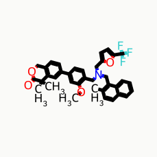 COc1cc(-c2ccc3c(c2)C(C)(C)C(=O)OC3)ccc1CN(Cc1ccc(C(F)(F)F)o1)Cc1c(C)ccc2ccccc12